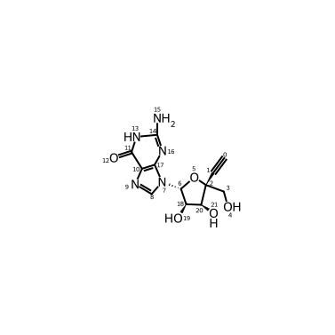 C#C[C@]1(CO)O[C@@H](n2cnc3c(=O)[nH]c(N)nc32)[C@H](O)[C@@H]1O